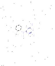 Nc1nc(N)nc(Nc2ccccc2C(F)(F)F)n1